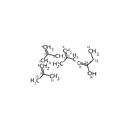 C=C(C)C.C=C(C)C.C=C(C)C.CCC(=O)O